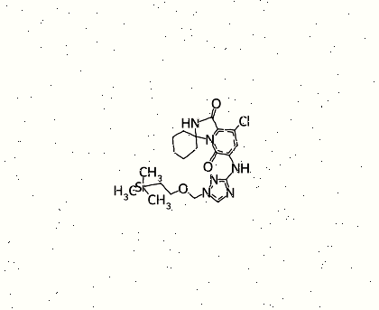 C[Si](C)(C)CCOCn1cnc(Nc2cc(Cl)c3n(c2=O)C2(CCCCC2)NC3=O)n1